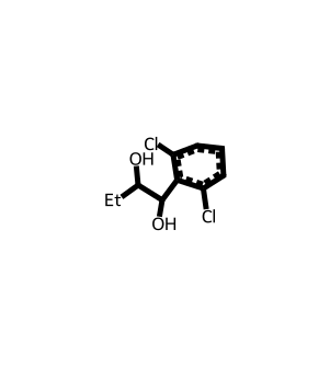 CCC(O)C(O)c1c(Cl)cccc1Cl